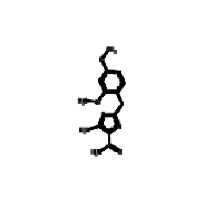 COc1ccc(Cc2nc(C(N)=O)c(N)s2)c(OC)c1